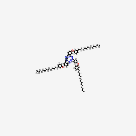 CCCCCCCCCCCCCCCc1cccc(Oc2ccc3c(c2)C2=NC/3=N\c3c4cc(Oc5cccc(CCCCCCCCCCCCCCC)c5)ccc4c4n3C(C)(Cl)n3c(c5cc(Oc6cccc(CCCCCCCCCCCCCCC)c6)ccc5/c3=N/2)=N4)c1